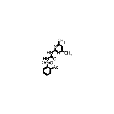 CC(=O)c1ccccc1S(=O)(=O)NC(=O)Nc1nc(C)cc(C)n1